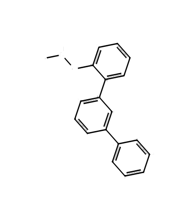 OBOc1ccccc1-c1cccc(-c2ccccc2)c1